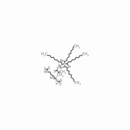 CCCCCCCCCC(Br)[P+](C(Br)CCCCCCCCC)(C(Br)CCCCCCCCC)C(Br)CCCCCCCCC.CN(C)C(=S)[S-].S=C([S-])NCCCCCNC(=S)[S-].[Mg+2]